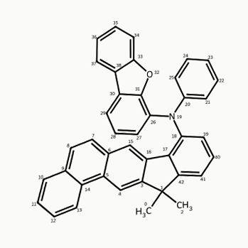 CC1(C)c2cc3c(ccc4ccccc43)cc2-c2c(N(c3ccccc3)c3cccc4c3oc3ccccc34)cccc21